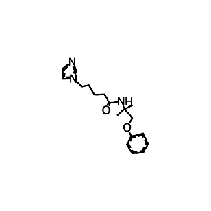 CC(C)(COc1ccccc1)NC(=O)CCCCn1ccnc1